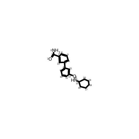 NC(=O)c1cccc(-c2cccc(ONC3CCCCC3)c2)c1